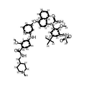 COc1cc(Nc2cc(Oc3ccc(N(C(N)=O)c4cc(C(C)(C)C)cc(NS(C)(=O)=O)c4OC)c4ccccc34)ccn2)ccc1C(=O)NCC1CCN(C)CC1